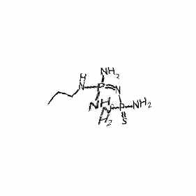 CCCNP(N)(N)=NP(N)(N)=S